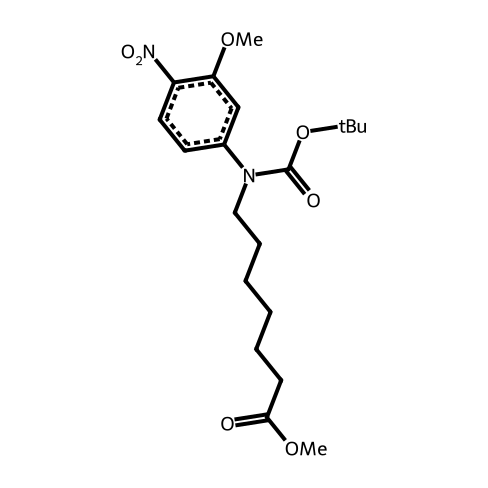 COC(=O)CCCCCCN(C(=O)OC(C)(C)C)c1ccc([N+](=O)[O-])c(OC)c1